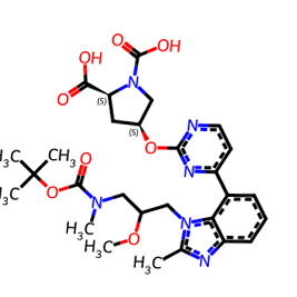 COC(CN(C)C(=O)OC(C)(C)C)Cn1c(C)nc2cccc(-c3ccnc(O[C@H]4C[C@@H](C(=O)O)N(C(=O)O)C4)n3)c21